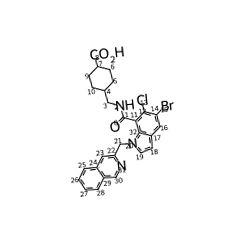 O=C(NCC1CCC(C(=O)O)CC1)c1c(Cl)c(Br)cc2ccn(Cc3cc4ccccc4cn3)c12